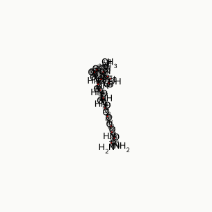 CC[C@]1(O)C(=O)OCc2c1cc1n(c2=O)Cc2c-1nc1cc(F)c(C)c3c1c2[C@H](NC(=O)C1(NC(=O)CNC(=O)CNC(=O)CNC(=O)CNC(=O)CNC(=O)CCOCCOCCOCCOCCNC(=O)c2ccc(N)c(N)c2)COC1)CC3